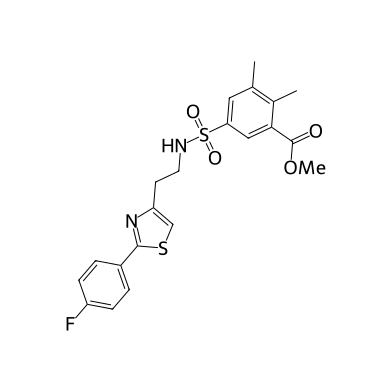 COC(=O)c1cc(S(=O)(=O)NCCc2csc(-c3ccc(F)cc3)n2)cc(C)c1C